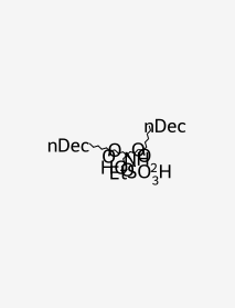 CCCCCCCCCCCCCCCC(=O)OCCC(N)(CCO)CCOC(=O)CCCCCCCCCCCCCCC.CCOS(=O)(=O)O